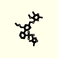 CCOCc1cc(COc2nc(C)nc(C)c2OC)ccc1-c1ccccc1S(=O)(=O)Nc1noc(C)c1C